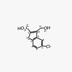 O=C(O)c1sc2ccc(Cl)cc2c1CO